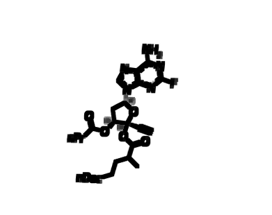 C#C[C@]1(OC(=O)C(C)CCCCCCCCCCCC)O[C@@H](n2cnc3c(N)nc(F)nc32)C[C@@H]1OC(=O)CCC